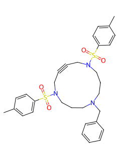 Cc1ccc(S(=O)(=O)N2CC#CCN(S(=O)(=O)c3ccc(C)cc3)CCCN(Cc3ccccc3)CCC2)cc1